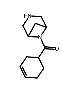 O=C(C1CC=CCC1)N1C2CNCC1C2